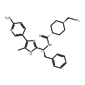 Cc1[nH]c([C@H](Cc2ccccc2)NC(=O)[C@H]2CC[C@H](CN)CC2)nc1-c1ccc(N)nc1